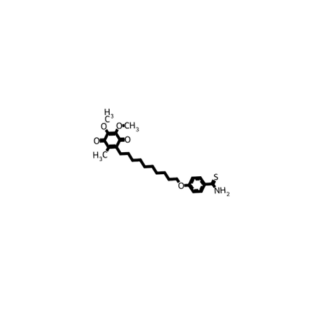 COC1=C(OC)C(=O)C(CCCCCCCCCCOc2ccc(C(N)=S)cc2)=C(C)C1=O